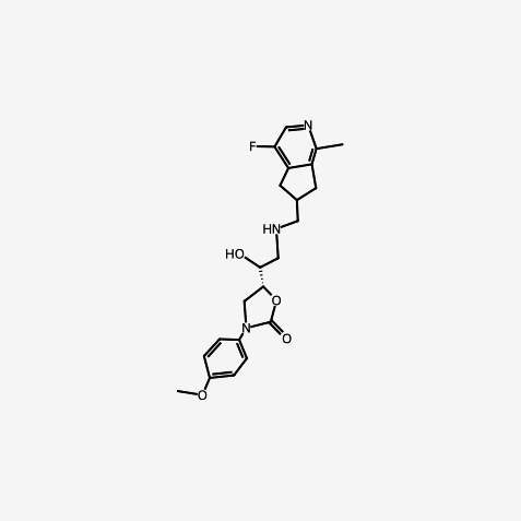 COc1ccc(N2C[C@H](C(O)CNCC3Cc4c(F)cnc(C)c4C3)OC2=O)cc1